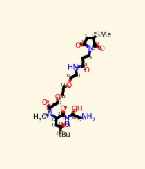 CSC1CC(=O)N(CCC(=O)NCCOCCOCC(=O)N(C)C(CC(=O)C(C)(C)C)C(=O)NC(O)CN)C1=O